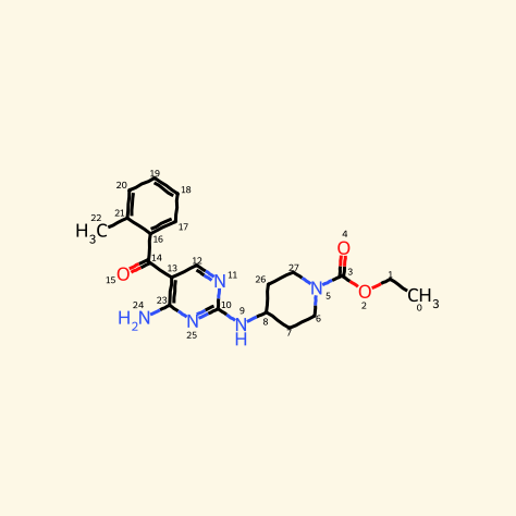 CCOC(=O)N1CCC(Nc2ncc(C(=O)c3ccccc3C)c(N)n2)CC1